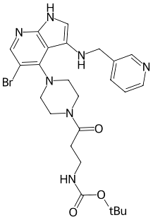 CC(C)(C)OC(=O)NCCC(=O)N1CCN(c2c(Br)cnc3[nH]cc(NCc4cccnc4)c23)CC1